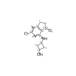 [O-][S@+]1CCc2nc(Cl)nc(NC3CC(O)C3)c21